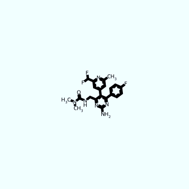 Cc1cc(-c2c(CNC(=O)N(C)C)nc(N)nc2-c2ccc(F)cc2)cc(C(F)F)n1